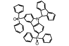 O=P(c1ccccc1)(c1ccccc1)c1ccc2c(c1)c1cc(P(=O)(c3ccccc3)c3ccccc3)ccc1n2C1c2ccccc2-c2ccccc21